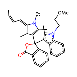 C/C=C\C=C1/C(C)C(C2(c3c(C)n(CCOC)c4ccccc34)OC(=O)c3ccccc32)=C(C)N1CC